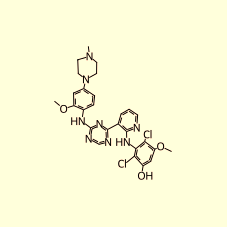 COc1cc(N2CCN(C)CC2)ccc1Nc1ncnc(-c2cccnc2Nc2c(Cl)c(O)cc(OC)c2Cl)n1